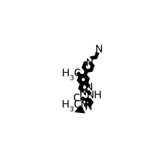 Cc1cc2cnc(Nc3cnn(C4(C)CC4)c3Cl)nc2cc1C1CCN(CCC#N)CC1